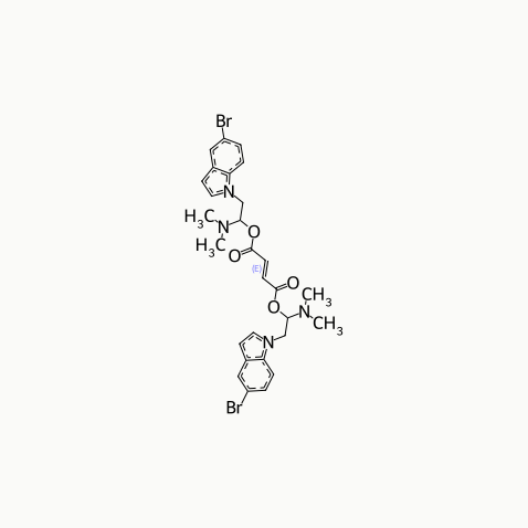 CN(C)C(Cn1ccc2cc(Br)ccc21)OC(=O)/C=C/C(=O)OC(Cn1ccc2cc(Br)ccc21)N(C)C